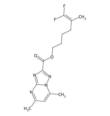 CC(CCCCOC(=O)c1nc2nc(C)cc(C)n2n1)=C(F)F